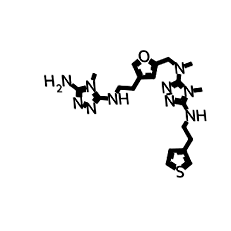 CN(Cc1cc(CCNc2nnc(N)n2C)co1)c1nnc(NCCc2ccsc2)n1C